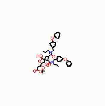 CCCN(Cc1ccc(Oc2ccccc2)cc1)C(=O)C1CC(C(=O)O)(C(O)CC2=CC(=O)OC(C)(C)O2)C1C(=O)N(CCC)Cc1ccc(Oc2ccccc2)cc1